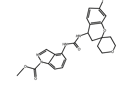 COC(=O)n1ncc2c(NC(=O)NC3CC4(CCOCC4)Oc4cc(F)ccc43)cccc21